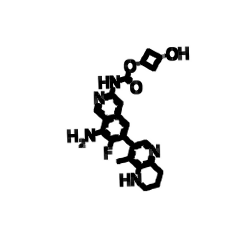 Cc1c(-c2cc3cc(NC(=O)O[C@H]4C[C@@H](O)C4)ncc3c(N)c2F)cnc2c1NCCC2